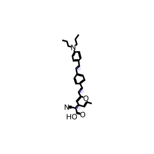 CCCN(CCC)c1ccc(/C=C/c2ccc(/C=C/C3=CC(=C(\C#N)C(=O)O)/C=C(C)O3)cc2)cc1